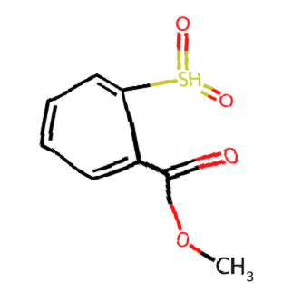 COC(=O)c1ccccc1[SH](=O)=O